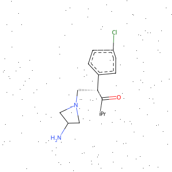 CC(C)C(=O)[C@H](CN1CC(N)C1)c1ccc(Cl)cc1